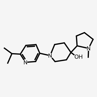 CC(C)c1ccc(N2CCC(O)(C3CCCN3C)CC2)cn1